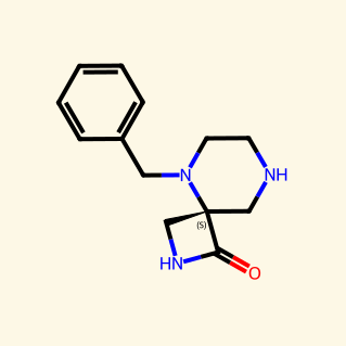 O=C1NC[C@@]12CNCCN2Cc1ccccc1